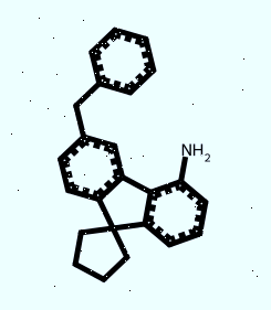 Nc1cccc2c1-c1cc(Cc3ccccc3)ccc1C21CCCC1